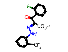 O=C(O)/C(=N\Nc1ccccc1C(F)(F)F)C(=O)c1ccccc1F